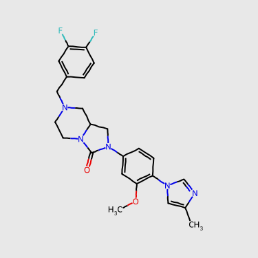 COc1cc(N2CC3CN(Cc4ccc(F)c(F)c4)CCN3C2=O)ccc1-n1cnc(C)c1